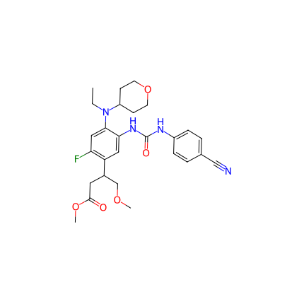 CCN(c1cc(F)c(C(COC)CC(=O)OC)cc1NC(=O)Nc1ccc(C#N)cc1)C1CCOCC1